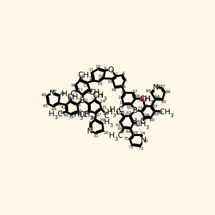 Cc1cc(-c2ccc3oc4ccc(-c5c(C)cc(C)c(B(c6c(C)cc(C)c(-c7cccnc7)c6C)c6c(C)cc(C)c(-c7cccnc7)c6C)c5C)cc4c3c2)cc(C)c1B(c1c(C)cc(C)c(-c2cccnc2)c1C)c1c(C)cc(C)c(-c2cccnc2)c1C